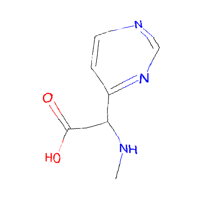 CNC(C(=O)O)c1ccncn1